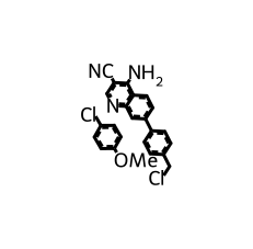 COc1ccc(Cl)cc1.N#Cc1cnc2cc(-c3ccc(CCl)cc3)ccc2c1N